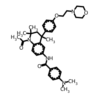 CC(=O)N1c2ccc(NC(=O)c3ccc(N(C)C)cc3)cc2C(C)(c2ccc(OCCN3CCOCC3)cc2)CC1(C)C